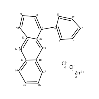 [Cl-].[Cl-].[Zn+2].c1ccc(-c2cccc3nc4ccccc4cc23)cc1